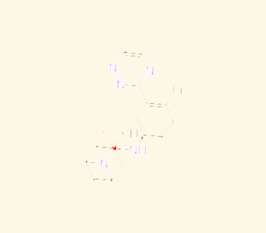 CC1CC2CC(C1)N2C(=O)Nc1ccc(Br)c(-c2nccnn2)c1